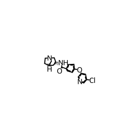 O=C(N[C@@H]1C[C@@H]2CCN(C2)C1)c1ccc(Oc2cncc(Cl)c2)cc1